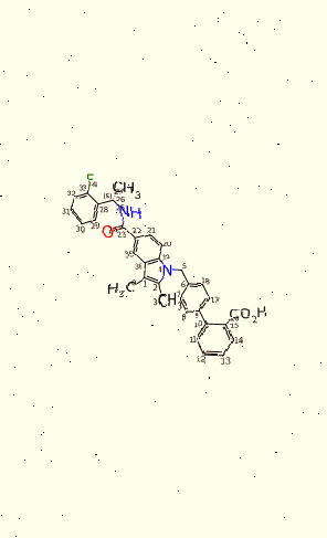 Cc1c(C)n(Cc2ccc(-c3ccccc3C(=O)O)cc2)c2ccc(C(=O)N[C@@H](C)c3ccccc3F)cc12